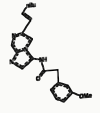 CCCC/C=C/c1cn2c(NC(=O)Cc3cccc(OC)c3)cnc2cn1